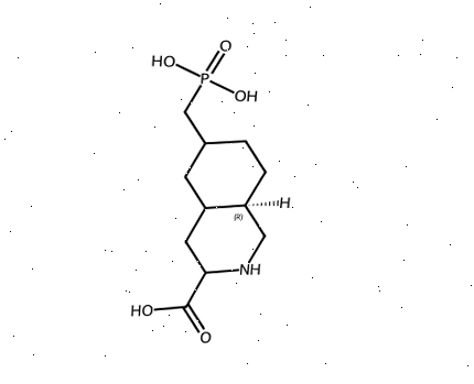 O=C(O)C1CC2CC(CP(=O)(O)O)CC[C@H]2CN1